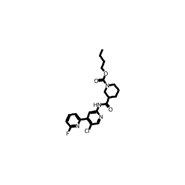 CCCCOC(=O)N1CCCC(C(=O)Nc2cc(-c3cccc(F)n3)c(Cl)cn2)C1